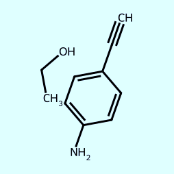 C#Cc1ccc(N)cc1.CCO